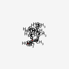 CC(COC(C)COCCOCC(C)OCC(C)NC(c1ccc(C(=O)C(C)(C)O)cc1)c1ccc(C(=O)C(C)(C)O)cc1)NC(c1ccc(C(=O)C(C)(C)O)cc1)c1ccc(C(=O)C(C)(C)O)cc1